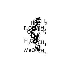 COC[C@H]1CN(c2cc(C)c3c4c(c(=O)oc3c2C)CN(C(=O)c2cc(N(C)C)c(C(=O)NS(=O)(=O)C3(C)CC3)cc2C(F)(F)F)CC4)CCN1C